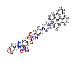 O=C(NS(=O)(=O)c1ccc(NCC2CCOCC2)c([N+](=O)[O-])c1)c1ccc(N2CCN(Cc3ccccc3C(=C(c3ccccc3)c3ccccc3)c3ccccc3)CC2)cc1